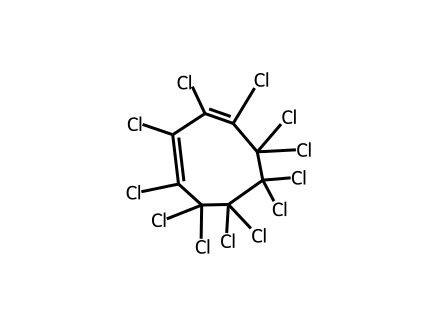 ClC1=C(Cl)C(Cl)(Cl)C(Cl)(Cl)C(Cl)(Cl)C(Cl)(Cl)C(Cl)=C1Cl